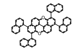 c1ccc2c(-c3cc(-c4cccc5ccccc45)c4oc5ccc6c(-c7cccc8ccccc78)cc(-c7cccc8ccccc78)c7oc8ccc3c4c8-c5c67)cccc2c1